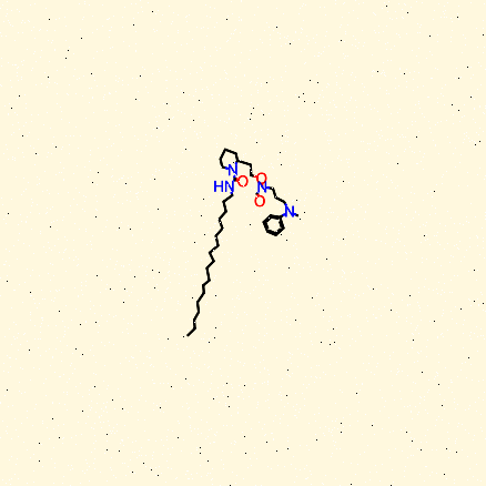 CCCCCCCCCCCCCCCCCCNC(=O)N1CCCCC1CCON(C=O)CCCN(C)c1ccccc1